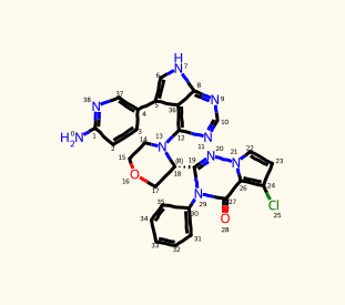 Nc1ccc(-c2c[nH]c3ncnc(N4CCOC[C@H]4c4nn5ccc(Cl)c5c(=O)n4-c4ccccc4)c23)cn1